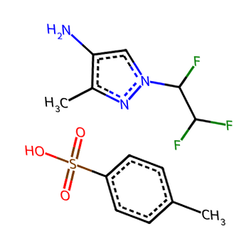 Cc1ccc(S(=O)(=O)O)cc1.Cc1nn(C(F)C(F)F)cc1N